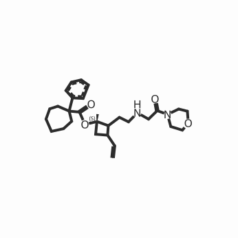 C=CC1C[C@](C)(OC(=O)C2(c3ccccc3)CCCCCC2)C1CCNCC(=O)N1CCOCC1